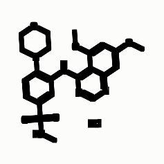 CNS(=O)(=O)c1ccc(N2CCOCC2)c(Nc2ncnc3cc(OC)cc(OC)c23)c1.Cl